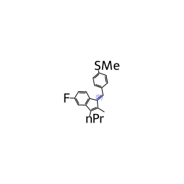 CCCC1=C(C)/C(=C/c2ccc(SC)cc2)c2ccc(F)cc21